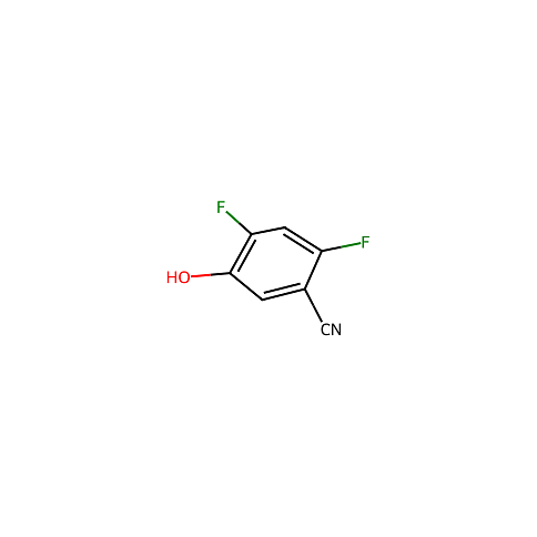 N#Cc1cc(O)c(F)cc1F